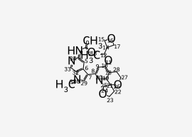 CC(=O)Nc1cc2c(-c3cc(OC(C)C4COC4)c4c(n3)C3(CCOC3)OCC4)cn(C)c2cn1